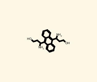 NC(CCO)c1c2ccccc2c(C(N)CCO)c2ccccc12